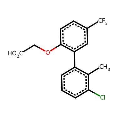 Cc1c(Cl)cccc1-c1cc(C(F)(F)F)ccc1OCC(=O)O